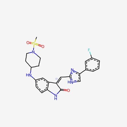 CS(=O)(=O)N1CCC(Nc2ccc3c(c2)/C(=C/c2nc(-c4cccc(F)c4)c[nH]2)C(=O)N3)CC1